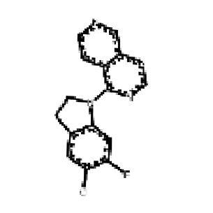 Fc1cc2c(cc1Cl)CCN2c1ncnc2cnccc12